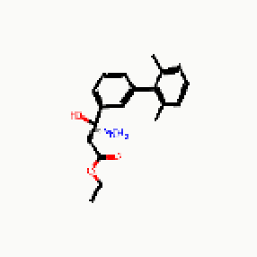 CCOC(=O)C[C@@](N)(O)c1cccc(-c2c(C)cccc2C)c1